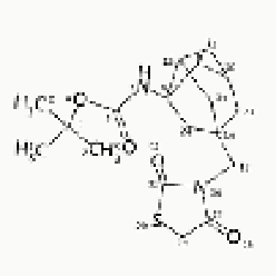 CC(C)(C)OC(=O)NC12CC3CC1CC(CN1C(=O)CSC1=O)(C3)C2